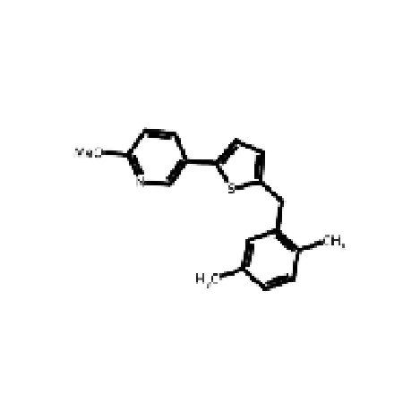 COc1ccc(-c2ccc(Cc3cc(C)ccc3C)s2)cn1